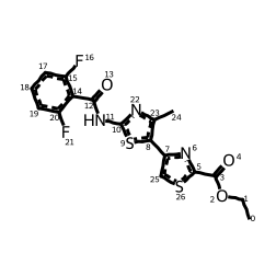 CCOC(=O)c1nc(-c2sc(NC(=O)c3c(F)cccc3F)nc2C)cs1